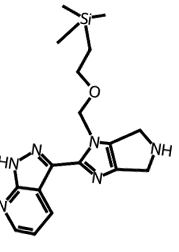 C[Si](C)(C)CCOCn1c(-c2n[nH]c3ncccc23)nc2c1CNC2